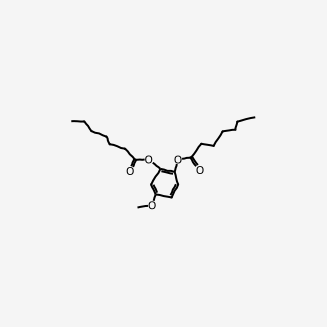 CCCCCCC(=O)Oc1ccc(OC)cc1OC(=O)CCCCCC